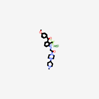 COc1ccc(C(=O)c2cccc(NCC(=O)N3CCN(C4CCN(C)CC4)CC3)c2C(F)(F)F)cc1.Cl.Cl